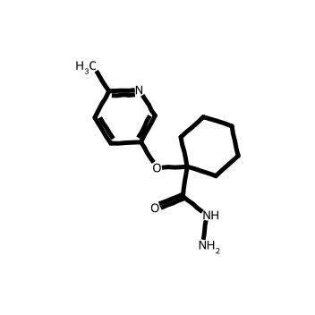 Cc1ccc(OC2(C(=O)NN)CCCCC2)cn1